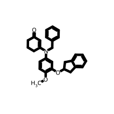 COc1ccc(N(Cc2ccccc2)C2=CC(=O)CCC2)cc1OC1Cc2ccccc2C1